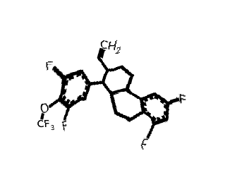 C=CC1CCC2c3cc(F)cc(F)c3CCC2C1c1cc(F)c(OC(F)(F)F)c(F)c1